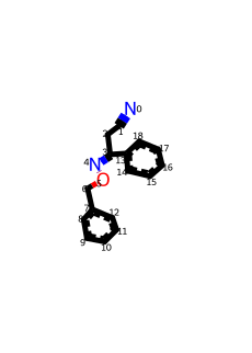 N#CCC(=NOCc1ccccc1)c1ccccc1